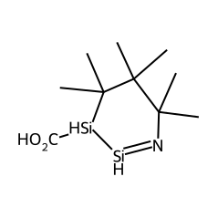 CC1(C)N=[SiH][SiH](C(=O)O)C(C)(C)C1(C)C